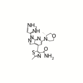 Cc1nc(C(N)=O)c(-c2cc(N3CCOC[C@H]3C)nc3c2cnn3C(=N)/C=C\N)s1